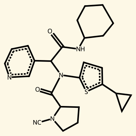 N#CN1CCCC1C(=O)N(c1ccc(C2CC2)s1)C(C(=O)NC1CCCCC1)c1cccnc1